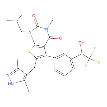 Cc1n[nH]c(C)c1Cc1sc2c(c1-c1cccc(C(O)C(F)(F)F)c1)c(=O)n(C)c(=O)n2CC(C)C